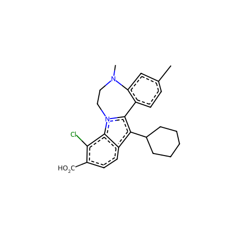 Cc1ccc2c(c1)N(C)CCn1c-2c(C2CCCCC2)c2ccc(C(=O)O)c(Cl)c21